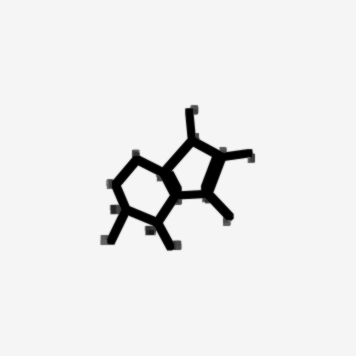 C[C]1C(C)=C(C)C2=C1CCC(C)C2C